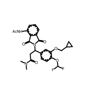 CC(=O)Nc1cccc2c1C(=O)N(C(CC(=O)N(C)C)c1ccc(OC(F)F)c(OCC3CC3)c1)C2=O